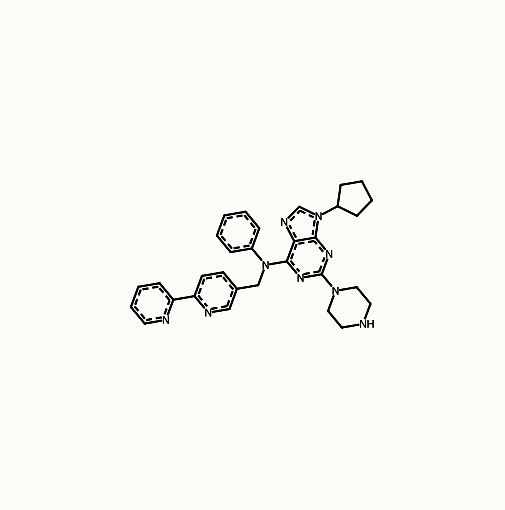 c1ccc(N(Cc2ccc(-c3ccccn3)nc2)c2nc(N3CCNCC3)nc3c2ncn3C2CCCC2)cc1